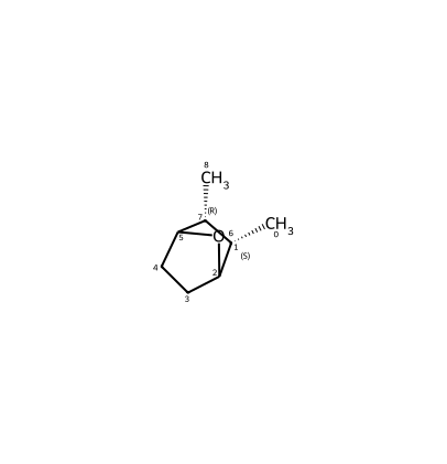 C[C@@H]1C2CCC(O2)[C@@H]1C